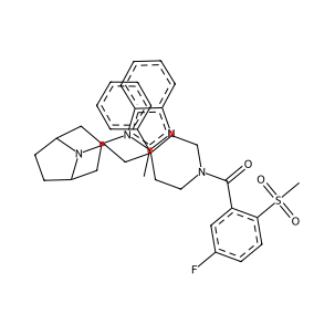 Cc1nc2ccccc2n1C1CC2CCC(C1)N2CCC1(c2ccccc2)CCN(C(=O)c2cc(F)ccc2S(C)(=O)=O)CC1